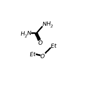 CCOCC.NC(N)=O